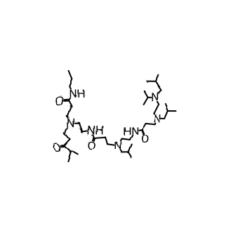 CCCNC(=O)CCN(CCNC(=O)CCN(CCNC(=O)CCN(CCN(CC(C)C)C(C)C)CC(C)C)CC(C)C)CCC(=O)C(C)C